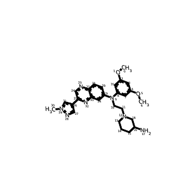 COc1cc(OC)cc(N(CCN2CCCC(N)C2)c2ccc3ncc(-c4cnn(C)c4)nc3c2)c1